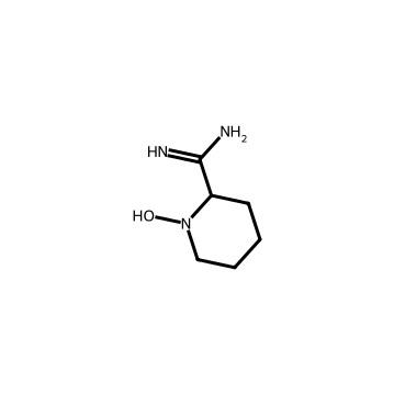 N=C(N)C1CCCCN1O